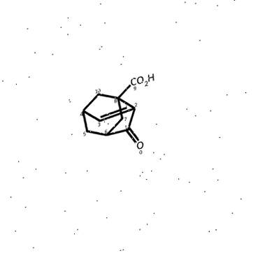 O=C1C2=CC3CC1CC2(C(=O)O)C3